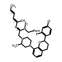 C/C=C/C=C(C)/N=C(/CN1CCN(c2cccc3c2OC(c2ccc(Cl)cc2F)CC3)CC1C)N(CC)CC(C)CCC